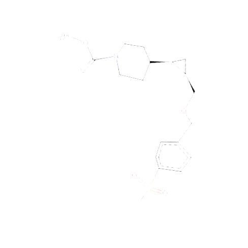 CCCOC(=O)N1CCC([C@H]2C[C@H]2COCc2ccc(S(C)(=O)=O)cc2)CC1